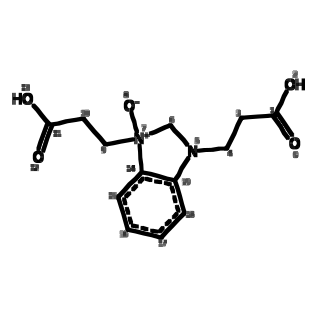 O=C(O)CCN1C[N+]([O-])(CCC(=O)O)c2ccccc21